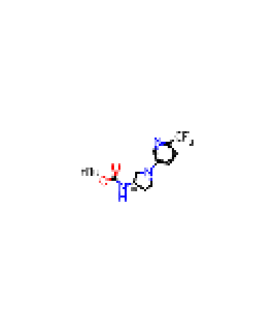 CC(C)(C)OC(=O)N[C@@H]1CCN(c2ccc(C(F)(F)F)nc2)C1